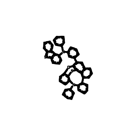 c1ccc(N2c3ccccc3-c3cccc4cc(-c5cccc(N(c6ccccc6)c6cccc7sc8ccccc8c67)c5)c5c(c34)Sc3c(cccc32)O5)cc1